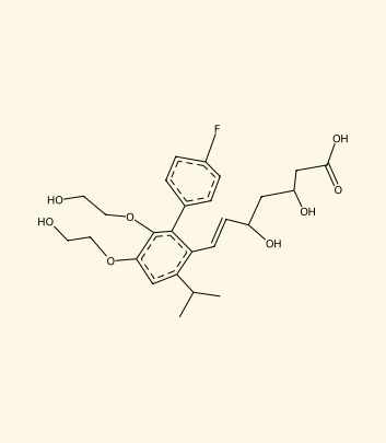 CC(C)c1cc(OCCO)c(OCCO)c(-c2ccc(F)cc2)c1/C=C/C(O)CC(O)CC(=O)O